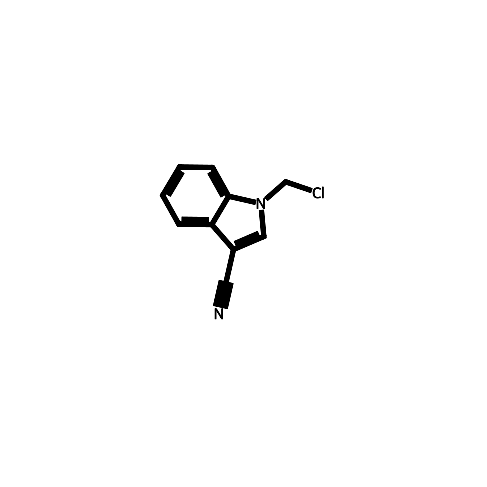 N#Cc1cn(CCl)c2ccccc12